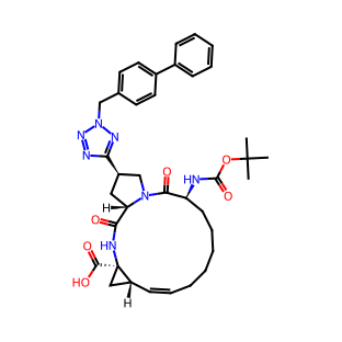 CC(C)(C)OC(=O)N[C@H]1CCCCC/C=C\[C@@H]2C[C@@]2(C(=O)O)NC(=O)[C@@H]2C[C@@H](c3nnn(Cc4ccc(-c5ccccc5)cc4)n3)CN2C1=O